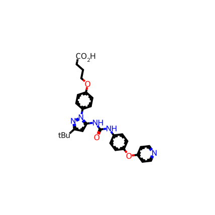 CC(C)(C)c1cc(NC(=O)Nc2ccc(Oc3ccncc3)cc2)n(-c2ccc(OCCCC(=O)O)cc2)n1